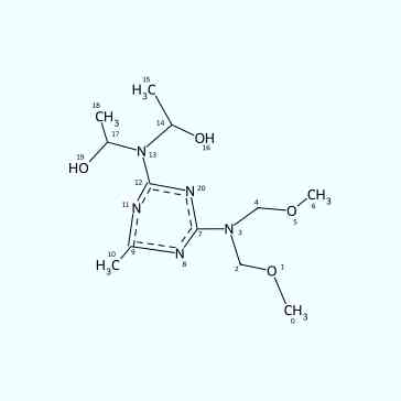 COCN(COC)c1nc(C)nc(N(C(C)O)C(C)O)n1